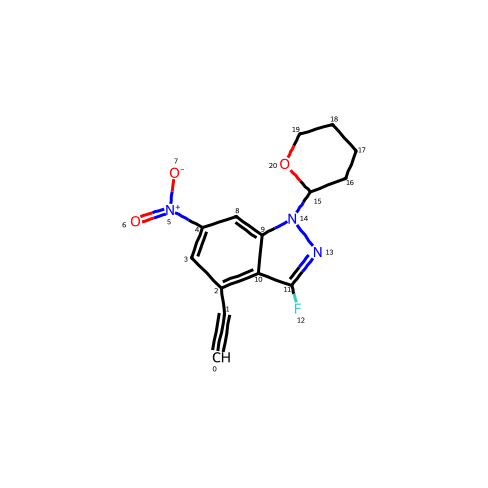 C#Cc1cc([N+](=O)[O-])cc2c1c(F)nn2C1CCCCO1